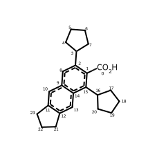 O=C(O)c1c(C2CCCC2)cc2cc3c(cc2c1C1CCCC1)CCC3